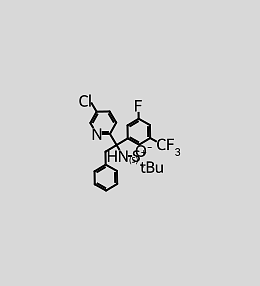 CC(C)(C)[S@@+]([O-])NC(Cc1ccccc1)(c1cc(F)cc(C(F)(F)F)c1)c1ccc(Cl)cn1